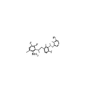 Cc1cc(F)c(F)c(C(C)Cc2ccc(F)c(C(C)Cc3cccc(C(C)C)c3C)c2C)c1N